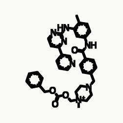 Cc1ccc(NC(=O)c2ccc(CN3CC[N+](C)(COC(=O)OCc4ccccc4)CC3)cc2)cc1Nc1nccc(-c2cccnc2)n1